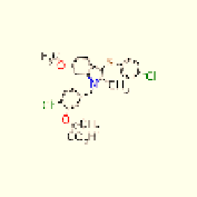 Cc1c(Sc2ccc(Cl)cc2)c2ccc(OC(F)(F)F)cc2n1Cc1ccc(Cl)c(O[C@H](C)C(=O)O)c1